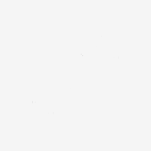 CCS(=O)(=O)CN1CCC(c2ccc(C(C)C)cc2Cl)CC1